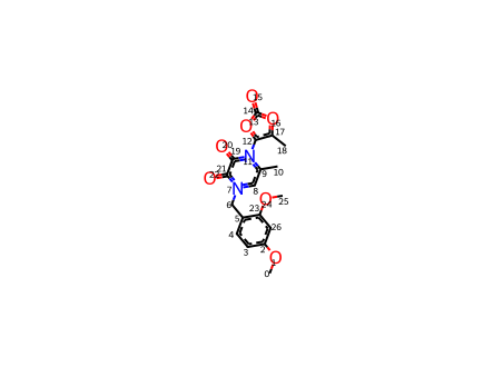 COc1ccc(Cn2cc(C)n(-c3oc(=O)oc3C)c(=O)c2=O)c(OC)c1